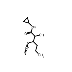 CCCC(N=[N+]=[N-])C(O)C(=O)NC1CC1